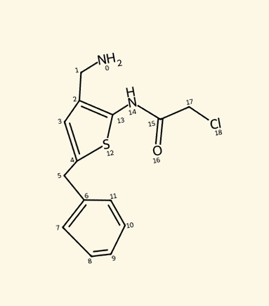 NCc1cc(Cc2ccccc2)sc1NC(=O)CCl